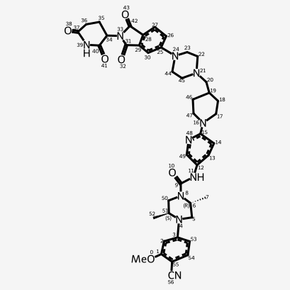 COc1cc(N2C[C@@H](C)N(C(=O)Nc3ccc(N4CCC(CN5CCN(c6ccc7c(c6)C(=O)N(C6CCC(=O)NC6=O)C7=O)CC5)CC4)nc3)C[C@@H]2C)ccc1C#N